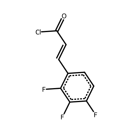 O=C(Cl)C=Cc1ccc(F)c(F)c1F